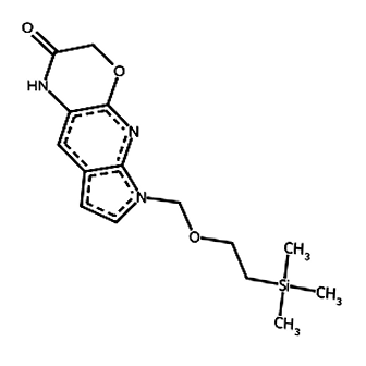 C[Si](C)(C)CCOCn1ccc2cc3c(nc21)OCC(=O)N3